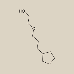 OCCOCCCC1CCCC1